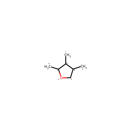 [CH2]C1OCC(C)C1C